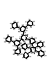 C1=CCC(c2nc(-c3ccccc3)c(-c3ccccc3)c(-c3cccc(-c4nc(-c5cc(-c6ccccc6)cc(-c6ccccc6)c5)cc(-c5cc(-c6ccccc6)cc(-c6ccccc6)c5)n4)c3)c2-c2ccccc2)C=C1